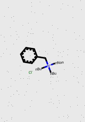 CCCCCCCCC[N+](CCCC)(CCCC)Cc1ccccc1.[Cl-]